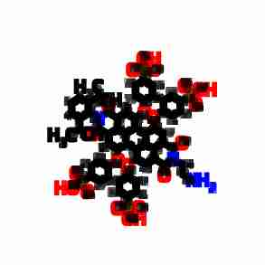 CC(C)c1cccc(C(C)C)c1N1C(=O)c2cc(Oc3ccc(S(=O)(=O)O)cc3)c3c4c(Oc5ccc(S(=O)(=O)O)cc5)cc5c6c(cc(Oc7ccc(S(=O)(=O)O)cc7)c(c7c(Oc8ccc(S(=O)(=O)O)cc8)cc(c2c37)C1=O)c64)C(=O)N(CCN)C5=O